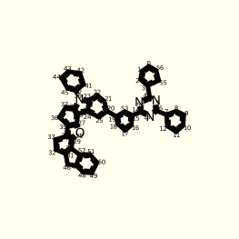 c1ccc(-c2nc(-c3ccccc3)nc(-c3cccc(-c4ccc5c(c4)c4c6oc7c8c(ccc7c6ccc4n5-c4ccccc4)Cc4ccccc4-8)c3)n2)cc1